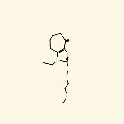 CCn1c(COCCOC)nc2c1CCCCC2=O